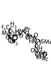 CO[C@@H]1[C@H](OC(=O)N[C@@H](COC(=O)CNC(=O)[C@H](CCSC)NC(=O)CNC(=O)[C@H](CC(C)C)NC(=O)[C@@H]2CCCN2C(C)=O)C(C)C)CC[C@]2(CO2)[C@H]1[C@@]1(C)O[C@@H]1CC=C(C)C